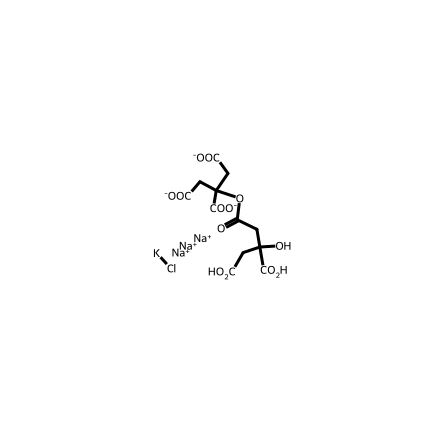 O=C([O-])CC(CC(=O)[O-])(OC(=O)CC(O)(CC(=O)O)C(=O)O)C(=O)[O-].[Cl][K].[Na+].[Na+].[Na+]